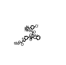 CC(C)(C)OC(=O)c1cc2cc(NC(=O)[C@H](Cc3ccccc3)NC(=O)C(=O)Nc3cc(Cl)ccc3-n3cnnn3)ccc2s1